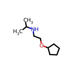 CC(C)NCCOC1CCCC1